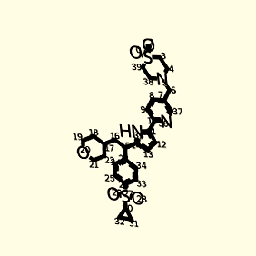 O=S1(=O)CCN(Cc2ccc(-c3ccc(C(CC4CCOCC4)c4ccc(S(=O)(=O)C5CC5)cc4)[nH]3)nc2)CC1